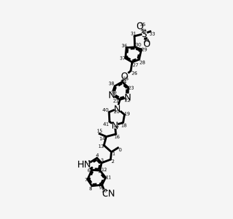 CC(Cc1c[nH]c2ccc(C#N)cc12)CC(C)CN1CCN(c2ncc(OCc3ccc(CS(C)(=O)=O)cc3)cn2)CC1